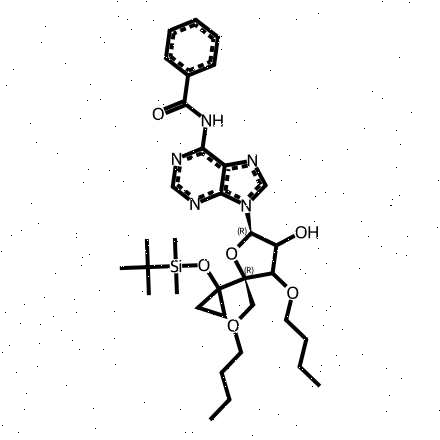 CCCCOC[C@@]1(C2(O[Si](C)(C)C(C)(C)C)CC2)O[C@@H](n2cnc3c(NC(=O)c4ccccc4)ncnc32)C(O)C1OCCCC